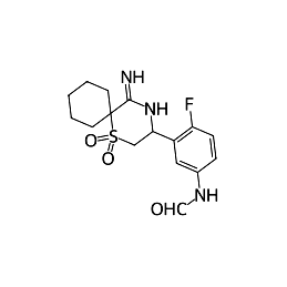 N=C1NC(c2cc(NC=O)ccc2F)CS(=O)(=O)C12CCCCC2